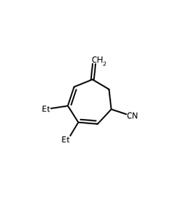 C=C1C=C(CC)C(CC)=CC(C#N)C1